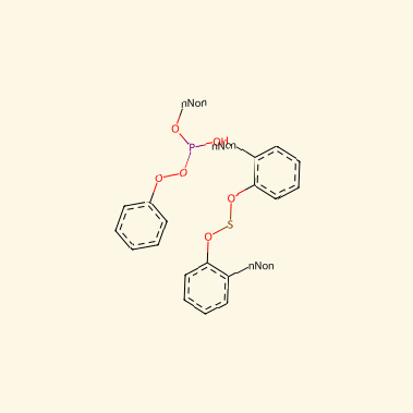 CCCCCCCCCOP(O)OOc1ccccc1.CCCCCCCCCc1ccccc1OSOc1ccccc1CCCCCCCCC